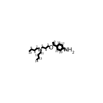 C=C(OCCCN(CCCC)CCCC)c1ccc(N)cc1